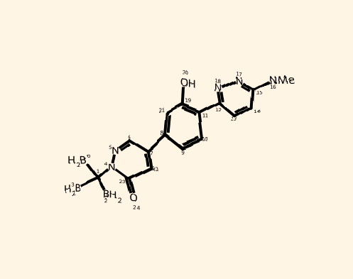 BC(B)(B)n1ncc(-c2ccc(-c3ccc(NC)nn3)c(O)c2)cc1=O